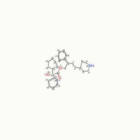 O=C(OCC(CCC1CCNCC1)c1ccccc1)C(O)(c1ccccc1)C1CCCCC1